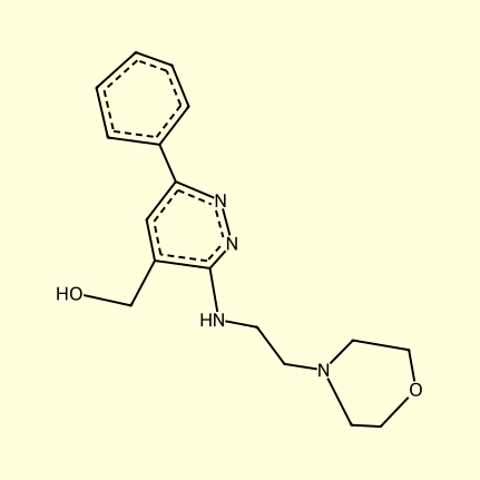 OCc1cc(-c2ccccc2)nnc1NCCN1CCOCC1